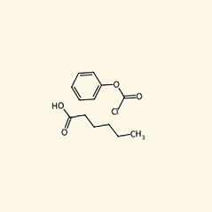 CCCCCC(=O)O.O=C(Cl)Oc1ccccc1